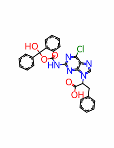 O=C(Nc1nc(Cl)c2ncn(C(Cc3ccccc3)C(=O)O)c2n1)OC(O)(c1ccccc1)c1ccccc1